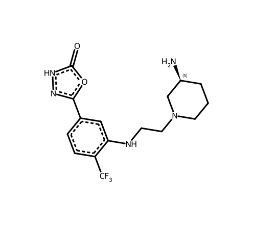 N[C@H]1CCCN(CCNc2cc(-c3n[nH]c(=O)o3)ccc2C(F)(F)F)C1